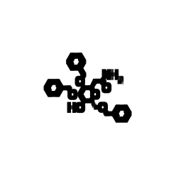 NC(=O)C[C@H]1O[C@H](COCc2ccccc2)[C@@H](O)[C@H](OCc2ccccc2)[C@@H]1OCc1ccccc1